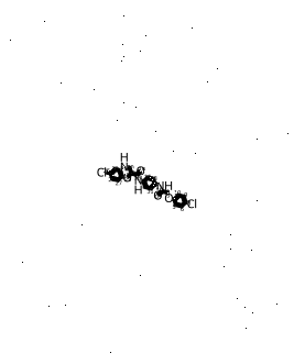 O=C(COc1ccc(Cl)cc1)Nc1ccc(NC(=O)C2CNc3cc(Cl)ccc3O2)cc1